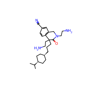 CC(C)[C@H]1CC[C@@H](CCCC2(CCN)C(=O)N(CCN)Cc3cc(C#N)ccc32)CC1